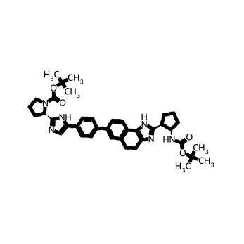 CC(C)(C)OC(=O)N[C@H]1CCC[C@@H]1c1nc2c([nH]1)-c1ccc(-c3ccc(-c4cnc([C@@H]5CCCN5C(=O)OC(C)(C)C)[nH]4)cc3)cc1CC2